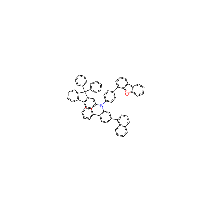 c1ccc(-c2ccc(-c3cccc4ccccc34)cc2N(c2ccc(-c3cccc4c3oc3ccccc34)cc2)c2ccc3c(c2)C(c2ccccc2)(c2ccccc2)c2ccccc2-3)cc1